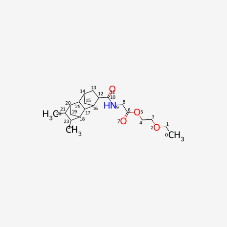 CCOCCOC(=O)CNC(=O)C1CC2CC1C1C3CC(C(C)C3C)C21